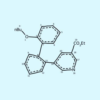 CCCCOc1ccccc1-c1ccccc1-c1cncc(C(=O)OCC)c1